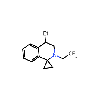 CCC1CN(CC(F)(F)F)C2(CC2)c2ccccc21